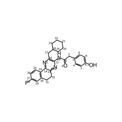 O=C(Cc1ccc(O)cc1)Nc1nc2c(nc1CC1CCCCC1)-c1ccc(F)cc1CC2